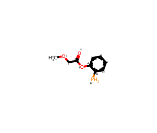 COCC(=O)Oc1ccccc1P